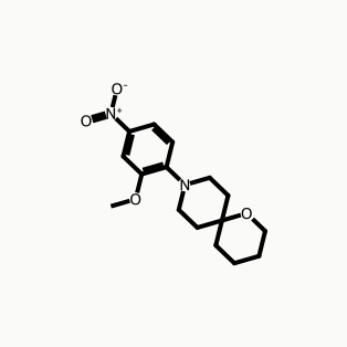 COc1cc([N+](=O)[O-])ccc1N1CCC2(CCCCO2)CC1